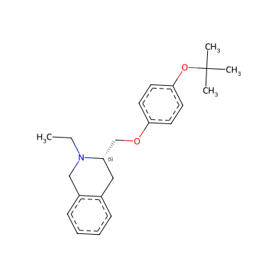 CCN1Cc2ccccc2C[C@H]1COc1ccc(OC(C)(C)C)cc1